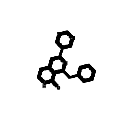 O=c1[nH]ccc2cc(-c3cncnc3)nc(Cc3ccccc3)c12